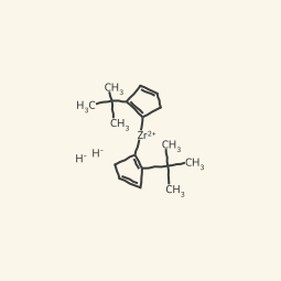 CC(C)(C)C1=[C]([Zr+2][C]2=C(C(C)(C)C)C=CC2)CC=C1.[H-].[H-]